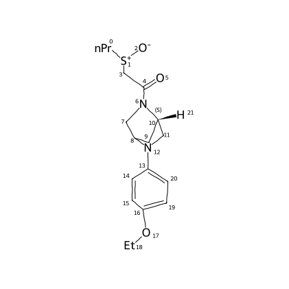 CCC[S+]([O-])CC(=O)N1CC2C[C@H]1CN2c1ccc(OCC)cc1